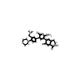 CN(C)Cc1cc(-c2cc(-c3cc4c(cc3F)C(=O)NCC4)c(N)nc2F)ccc1N1CCSCC1